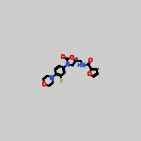 O=C(NC[C@H]1CN(c2ccc(N3CCOCC3)c(F)c2)C(=O)O1)c1[c]cco1